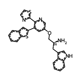 N[C@H](COc1cnc(-c2nccs2)c(-c2cc3ccccc3s2)c1)Cc1c[nH]c2ccccc12